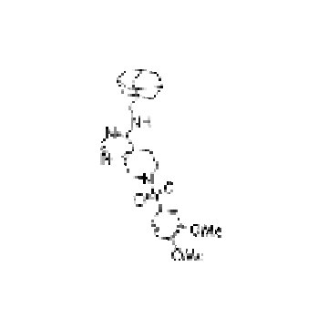 COc1ccc(S(=O)(=O)N2CCc3c(ncnc3NCC34CC5CC(CC(C5)C3)C4)C2)cc1OC